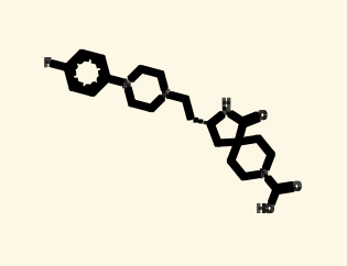 O=C(O)N1CCC2(CC1)C[C@H](CCN1CCN(c3ccc(F)cc3)CC1)NC2=O